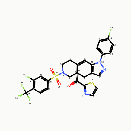 O=C(c1nccs1)[C@]12Cc3cnn(-c4ccc(F)cc4)c3C=C1CCN(S(=O)(=O)c1ccc(C(F)(F)F)c(F)c1)C2